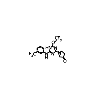 O=C1CCN(C2=NC(OCC(F)(F)F)NC(Nc3cccc(C(F)(F)F)c3)=N2)C1